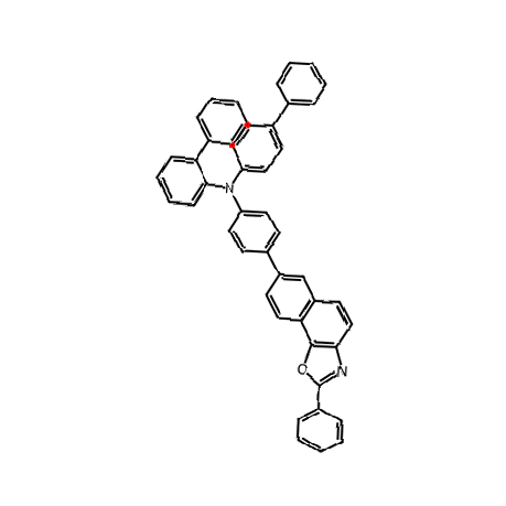 c1ccc(-c2ccc(N(c3ccc(-c4ccc5c(ccc6nc(-c7ccccc7)oc65)c4)cc3)c3ccccc3-c3ccccc3)cc2)cc1